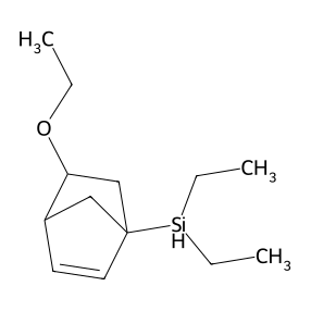 CCOC1CC2([SiH](CC)CC)C=CC1C2